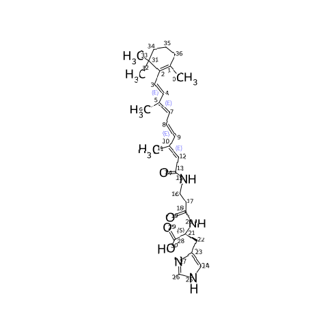 CC1=C(/C=C/C(C)=C/C=C/C(C)=C/C(=O)NCCC(=O)N[C@@H](Cc2c[nH]cn2)C(=O)O)C(C)(C)CCC1